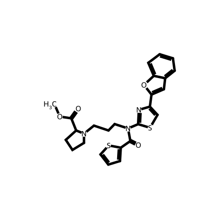 COC(=O)C1CCCN1CCCN(C(=O)c1cccs1)c1nc(-c2cc3ccccc3o2)cs1